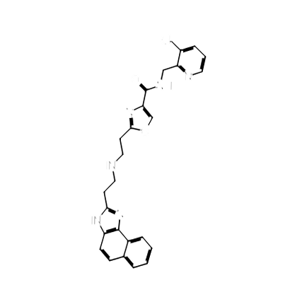 O=C(NCc1ncccc1Cl)c1coc(CCNCCc2nc3c(ccc4ccccc43)[nH]2)n1